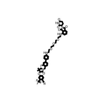 CC1(C)CN(Cc2ccc(-c3ccc(NCCOCCOCCOCCNc4cccc5c4C(=O)N(C4CCC(=O)NC4=O)C5=O)cc3)cc2F)C(=O)C1Oc1ccc(C#N)c(C(F)(F)F)c1